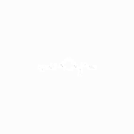 CN1CC(N2CCCN(C(=O)OC(C)(C)C)CC2)C1